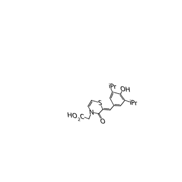 CC(C)c1cc(/C=C2\SC=CN(CC(=O)O)C2=O)cc(C(C)C)c1O